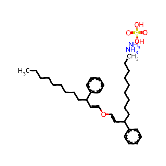 CCCCCCCCCC(C=COC=CC(CCCCCCCCC)c1ccccc1)c1ccccc1.N.N.O=S(=O)(O)O